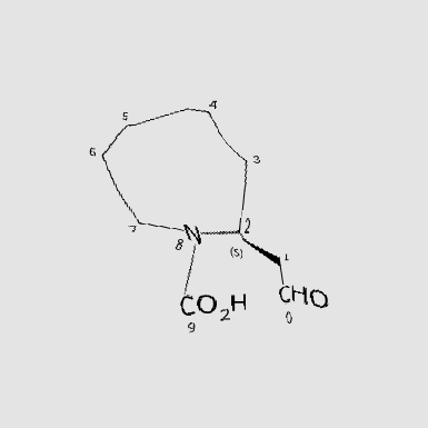 O=CC[C@@H]1CCCCCN1C(=O)O